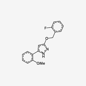 COc1ccccc1-c1cc(OCc2ccccc2F)n[nH]1